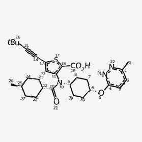 Cc1ccc(O[C@H]2CC[C@@H](N(c3cc(C#CC(C)(C)C)sc3C(=O)O)C(=O)[C@H]3CC[C@H](C)CC3)CC2)nn1